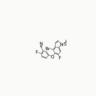 N#Cc1cc(Oc2c(F)cc3c(ccn3SI)c2Br)ccc1F